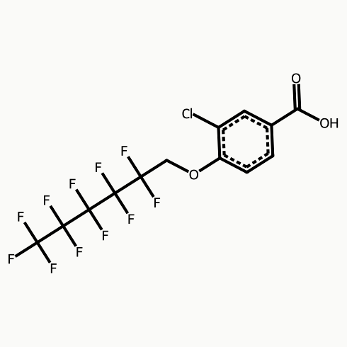 O=C(O)c1ccc(OCC(F)(F)C(F)(F)C(F)(F)C(F)(F)C(F)(F)F)c(Cl)c1